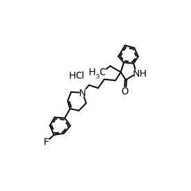 CCC1(CCCCN2CC=C(c3ccc(F)cc3)CC2)C(=O)Nc2ccccc21.Cl